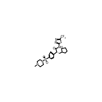 CN1CCN(S(=O)(=O)c2ccc([C@@H](CC3CCCC3)C(=O)Nc3nnc(C(F)(F)F)s3)cc2)CC1